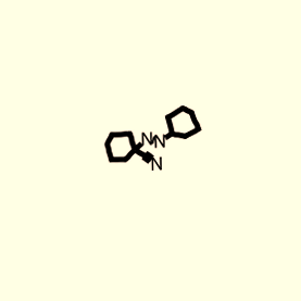 N#CC1(N=NC2CCCCC2)CCCCC1